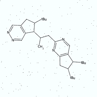 CC(Cc1ncc2c(n1)CC(C(C)(C)C)C2C(C)(C)C)C1c2cnncc2CC1C(C)(C)C